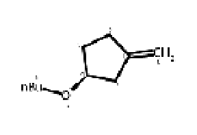 C=C1CC[C@H](OCCCC)C1